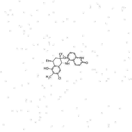 CC[C@H]1C[C@@](O)(C(F)(F)F)[C@H](Nc2cccc3[nH]c(=O)ccc23)c2cc(Cl)c(C)c(O)c21